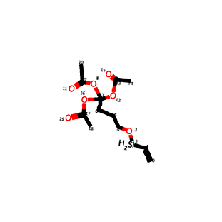 C=C[SiH2]OCCCC(OC(C)=O)(OC(C)=O)OC(C)=O